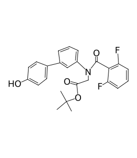 CC(C)(C)OC(=O)CN(C(=O)c1c(F)cccc1F)c1cccc(-c2ccc(O)cc2)c1